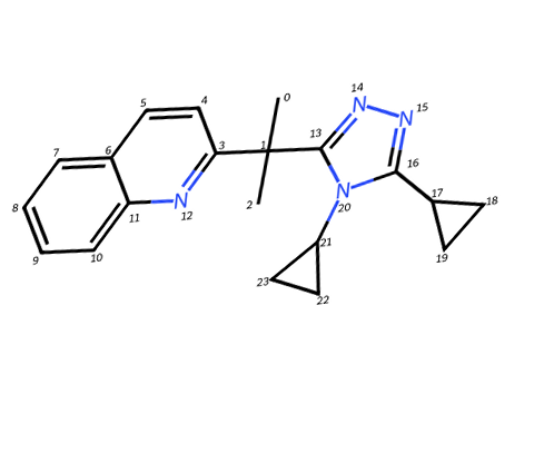 CC(C)(c1ccc2ccccc2n1)c1nnc(C2CC2)n1C1CC1